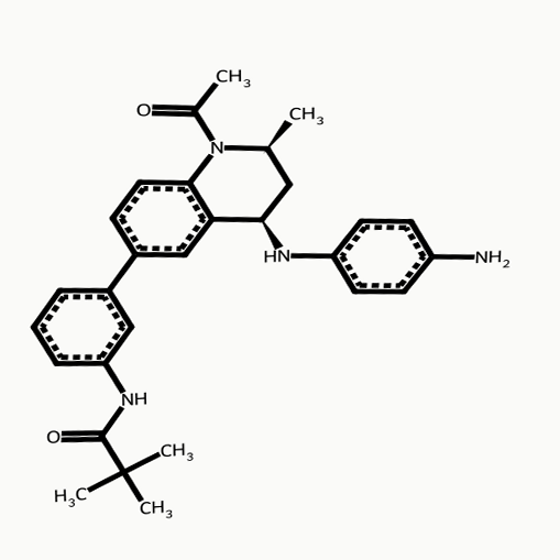 CC(=O)N1c2ccc(-c3cccc(NC(=O)C(C)(C)C)c3)cc2[C@H](Nc2ccc(N)cc2)C[C@@H]1C